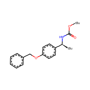 CC(C)(C)OC(=O)N[C@H](c1ccc(OCc2ccccc2)cc1)C(C)(C)C